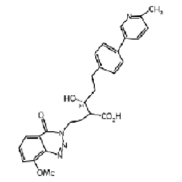 COc1cccc2c(=O)n(CCC(C(=O)O)[C@H](O)CCc3ccc(-c4ccc(C)nc4)cc3)nnc12